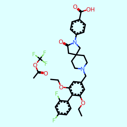 CC(=O)OC(F)(F)F.CCOc1cc(CN2CCC3(CC2)CC(=O)N(c2ccc(C(=O)O)cc2)C3)cc(OCC)c1-c1ccc(F)cc1F